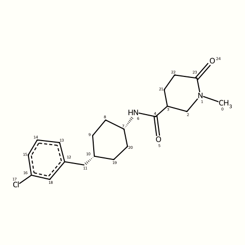 CN1CC(C(=O)N[C@H]2CC[C@@H](Cc3cccc(Cl)c3)CC2)CCC1=O